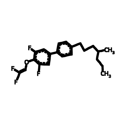 CCCC(C)CCCc1ccc(-c2cc(F)c(OC=C(F)F)c(F)c2)cc1